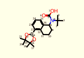 CC(C)(C)N(C(=O)O)C1CCCc2c(B3OC(C)(C)C(C)(C)O3)cccc21